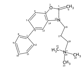 C=C1Oc2ccc(-c3ccccc3)cc2N1CCC[N+](C)(C)C